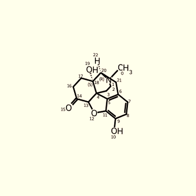 CN1CCC23c4c5ccc(O)c4OC2C(=O)CC[C@@]3(O)[C@H]1C5